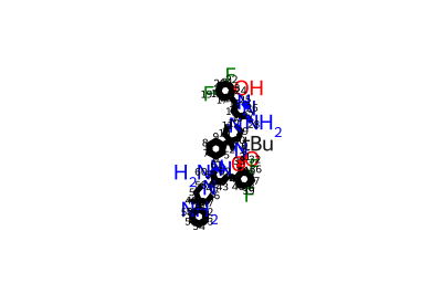 CC(C)(C)N(CC1(c2ccccc2)CCN(c2cc(-c3cc(F)cc(F)c3O)nnc2N)CC1)C(=O)Oc1c(F)cc(F)cc1-c1cc(N2CCC(CN)(c3ccccc3)CC2)c(N)nn1